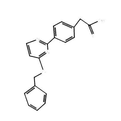 O=C(O)Cc1ccc(-c2nccc(OCc3ccccc3)n2)cc1